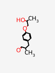 CC(O)COc1ccc(CC(C)C=O)cc1